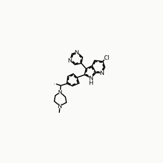 [CH2]C(c1ccc(-c2[nH]c3ncc(Cl)cc3c2-c2cncnc2)cc1)N1CCN(C)CC1